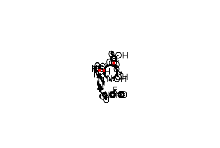 CC[C@H]1OC(=O)[C@H](C)[C@@H](O[C@H]2C[C@@](C)(OC)[C@@H](O)[C@H](C)O2)[C@H](C)[C@@H](O[C@@H]2O[C@H](C)C[C@H](N(C)C(C)(C)CN3CCN(C(C)(C)C[C@H]4CN(c5ccc(N6CCOCC6)c(F)c5)C(=O)O4)CC3)[C@H]2O)[C@](C)(O)C[C@@H](C)CN(C)[C@H](C)[C@@H](O)[C@]1(C)O